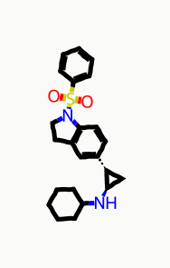 O=S(=O)(c1ccccc1)N1CCc2cc([C@@H]3C[C@H]3NC3CCCCC3)ccc21